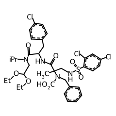 CCOC(CN(C(=O)C(Cc1ccc(Cl)cc1)NC(=O)C(C)(CNS(=O)(=O)c1ccc(Cl)cc1Cl)N(Cc1ccccc1)C(=O)O)C(C)C)OCC